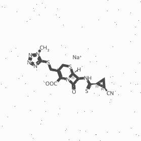 Cn1nnnc1SCC1=C(C(=O)[O-])N2C(=O)C(NC(=S)[C@H]3C[C@H]3C#N)[C@@H]2SC1.[Na+]